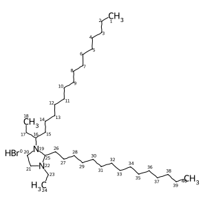 Br.CCCCCCCCCCCCCCCC(CC)N1CCN(CC)C1CCCCCCCCCCCCCCC